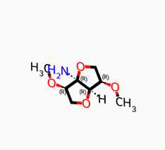 CO[C@@H]1CO[C@@]2(N)[C@@H]1OC[C@H]2OC